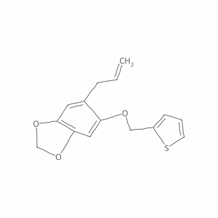 C=CCc1cc2c(cc1OCc1cccs1)OCO2